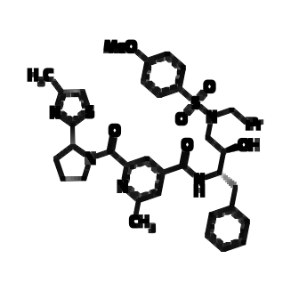 COc1ccc(S(=O)(=O)N(CC(C)C)C[C@@H](O)[C@H](Cc2ccccc2)NC(=O)c2cc(C)nc(C(=O)N3CCCC3c3nc(C)cs3)c2)cc1